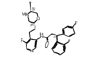 [CH2][C@H]1CO[C@H](CCc2c(F)cncc2NC(=O)C[C@@H](c2ccc(F)cc2)c2ccccc2F)CN1